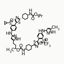 Cc1cc(Nc2ccc(-c3cnc(C4CCC(NC(=O)OC(C)CCc5cc(Nc6ccc(-c7cnc([C@H]8CC[C@H](NC(=O)OC(C)C)CC8)s7)c([S+]([O-])C7CC7)c6)n[nH]5)CC4)s3)c(S(=O)(=O)C(F)(F)F)c2)n[nH]1